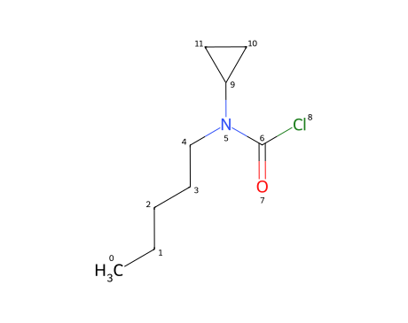 CCCCCN(C(=O)Cl)C1CC1